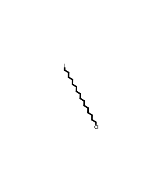 ClCCCCCCCCCCCCCCCCI